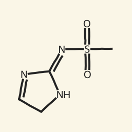 CS(=O)(=O)N=C1N=CCN1